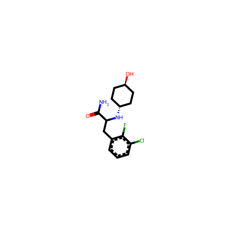 NC(=O)C(Cc1cccc(Cl)c1F)N[C@H]1CC[C@H](O)CC1